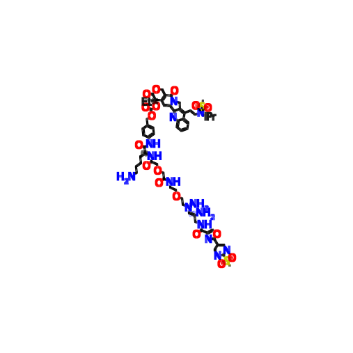 CC[C@@]1(OC(=O)OCc2ccc(NC(=O)[C@H](CCCCN)NC(=O)COCC(=O)NCCOCCN(N)/C=C(\N)CNC(=O)c3coc(-c4cnc(S(C)(=O)=O)nc4)n3)cc2)C(=O)OCc2c1cc1n(c2=O)Cc2c-1nc1ccccc1c2CCN(C(C)C)S(C)(=O)=O